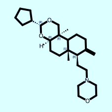 C=C1CCC2[C@]3(C)CO[C@@H](C4CCCC4)O[C@@H]3CC[C@@]2(C)[C@@H]1CCN1CCOCC1